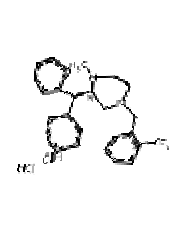 CN1CCN(Cc2ccccc2C(F)(F)F)C[C@H]1C(c1ccccc1)c1ccccc1.Cl.Cl